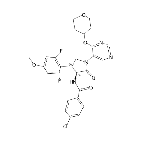 COc1cc(F)c([C@@H]2CN(c3cncnc3OC3CCOCC3)C(=O)[C@H]2NC(=O)c2ccc(Cl)cc2)c(F)c1